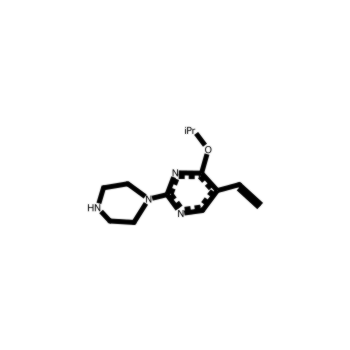 C=Cc1cnc(N2CCNCC2)nc1OC(C)C